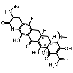 CCCCNC1Cc2c(F)c3c(c(O)c2NC1=O)C(=O)C1=C(O)[C@]2(O)C(=O)C(C(N)=O)=C(O)[C@@H](N(C)C)[C@@H]2C[C@@H]1C3